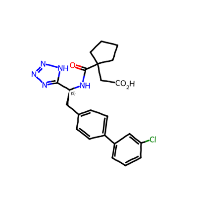 O=C(O)CC1(C(=O)N[C@@H](Cc2ccc(-c3cccc(Cl)c3)cc2)c2nnn[nH]2)CCCC1